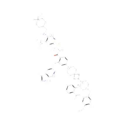 COc1ccc(CN2CCN(C3CC4(CCN(c5ccc(C(=O)NS(=O)(=O)c6cnc(NCC7CCC(C)(O)CC7)c([N+](=O)[O-])c6)c(Oc6cnc7[nH]cc(F)c7c6)c5)CC4)C3)[C@H](c3ccccc3C(C)C)C2)cc1F